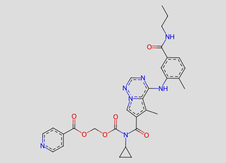 CCCNC(=O)c1ccc(C)c(Nc2ncnn3cc(C(=O)N(C(=O)OCOC(=O)c4ccncc4)C4CC4)c(C)c23)c1